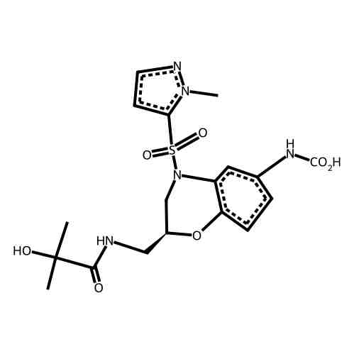 Cn1nccc1S(=O)(=O)N1C[C@H](CNC(=O)C(C)(C)O)Oc2ccc(NC(=O)O)cc21